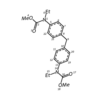 CCN(C(=O)OC)c1ccc(Cc2ccc(N(CC)C(=O)OC)cc2)cc1